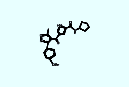 COc1ccc(-c2noc(C)c2C(=O)c2c[nH]c(C(=O)NC3CCCC3)c2)cc1